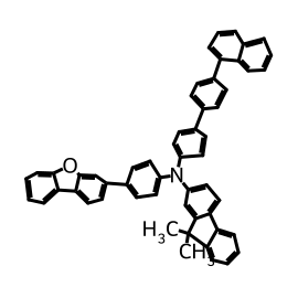 CC1(C)c2ccccc2-c2ccc(N(c3ccc(-c4ccc(-c5cccc6ccccc56)cc4)cc3)c3ccc(-c4ccc5c(c4)oc4ccccc45)cc3)cc21